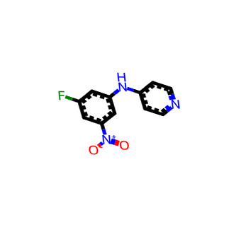 O=[N+]([O-])c1cc(F)cc(Nc2ccncc2)c1